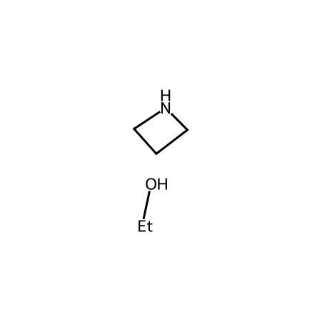 C1CNC1.CCO